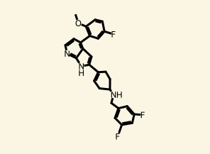 COc1ccc(F)cc1-c1ccnc2[nH]c(C3=CCC(NCc4cc(F)cc(F)c4)CC3)cc12